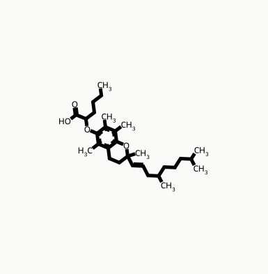 CCCCC(Oc1c(C)c(C)c2c(c1C)CCC(C)(/C=C/CC(C)CCCC(C)C)O2)C(=O)O